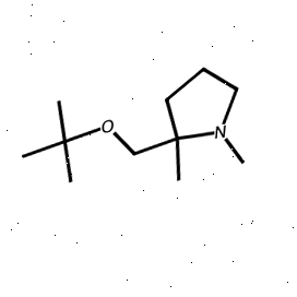 CN1CCCC1(C)COC(C)(C)C